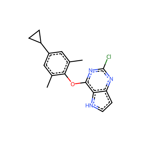 Cc1cc(C2CC2)cc(C)c1Oc1nc(Cl)nc2cc[nH]c12